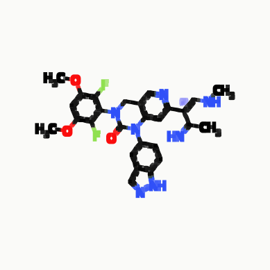 CN/C=C(\C(C)=N)c1cc2c(cn1)CN(c1c(F)c(OC)cc(OC)c1F)C(=O)N2c1ccc2[nH]ncc2c1